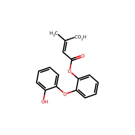 C/C(=C/C(=O)Oc1ccccc1Oc1ccccc1O)C(=O)O